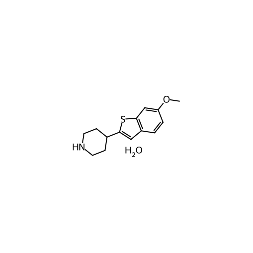 COc1ccc2cc(C3CCNCC3)sc2c1.O